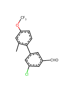 Cc1cc(OC(F)(F)F)ccc1-c1cc(Cl)cc(C=O)c1